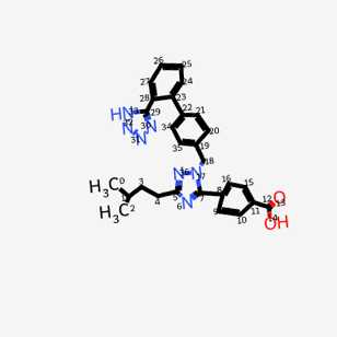 CC(C)CCc1nc(-c2ccc(C(=O)O)cc2)n(Cc2ccc(-c3ccccc3-c3nnn[nH]3)cc2)n1